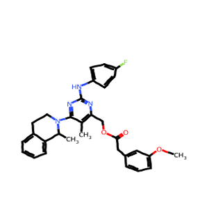 COc1cccc(CC(=O)OCc2nc(Nc3ccc(F)cc3)nc(N3CCc4ccccc4C3C)c2C)c1